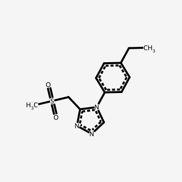 CCc1ccc(-n2cnnc2CS(C)(=O)=O)cc1